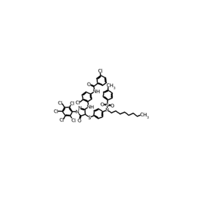 CCCCCCCCN(c1ccc(SC2C(=O)N(c3c(Cl)c(Cl)c(Cl)c(Cl)c3Cl)N=C2Nc2cc(NC(=O)c3cccc(Cl)c3)ccc2Cl)cc1)S(=O)(=O)c1ccc(C)cc1